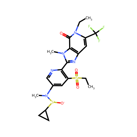 CCn1c(C(F)(F)F)cc2nc(-c3ncc(N(C)[S+]([O-])C4CC4)cc3S(=O)(=O)CC)n(C)c2c1=O